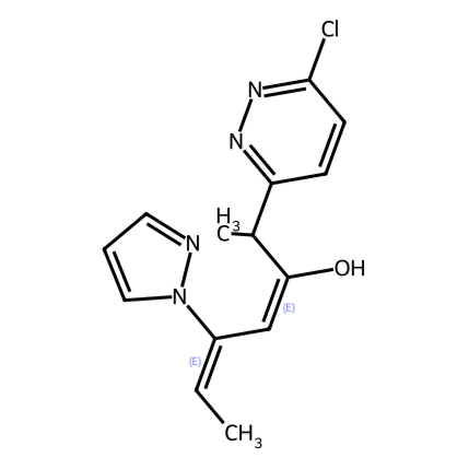 C/C=C(\C=C(\O)C(C)c1ccc(Cl)nn1)n1cccn1